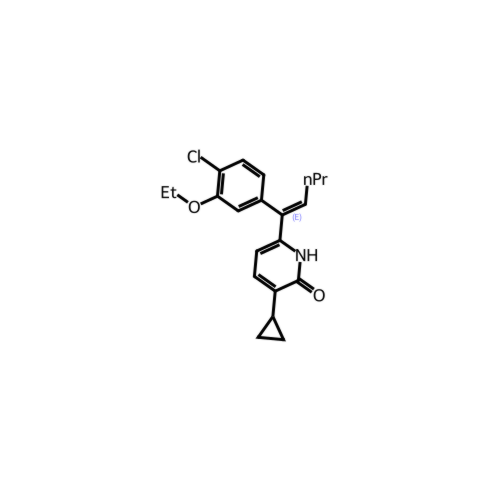 CCC/C=C(\c1ccc(Cl)c(OCC)c1)c1ccc(C2CC2)c(=O)[nH]1